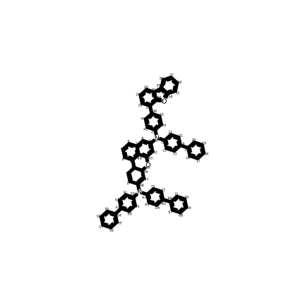 C1=CC2c3cccc4cc(N(c5ccc(-c6ccccc6)cc5)c5ccc(-c6cccc7c6oc6ccccc67)cc5)cc(c34)OC2C=C1N(c1ccc(-c2ccccc2)cc1)c1ccc(-c2ccccc2)cc1